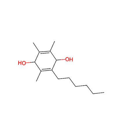 CCCCCCC1=C(C)C(O)C(C)=C(C)C1O